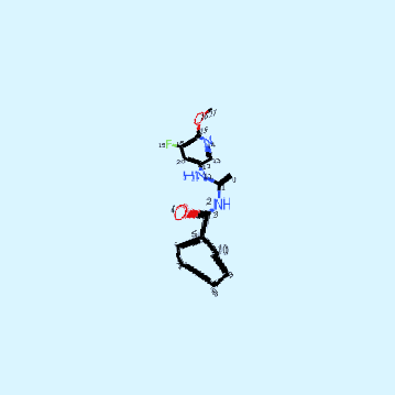 C=C(NC(=O)c1ccccc1)Nc1cnc(OC)c(F)c1